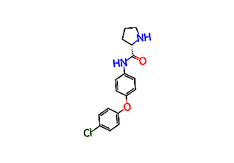 O=C(Nc1ccc(Oc2ccc(Cl)cc2)cc1)[C@@H]1CCCN1